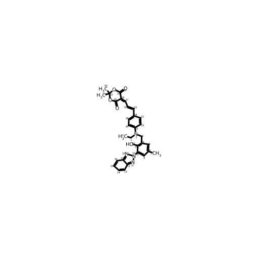 CCN(Cc1cc(C)cc(-n2nc3ccccc3n2)c1O)c1ccc(/C=C/C=C2C(=O)OC(C)(C)OC2=O)cc1